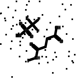 O=C(O)CCC(=O)NI.O=S(=O)(O)C(F)(F)F